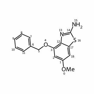 COc1cc(OCc2ccccc2)c2nc(N)sc2c1